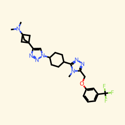 CN(C)C12CC(c3cn(C4CCC(c5nnc(COc6cccc(C(F)(F)F)c6)n5C)CC4)nn3)(C1)C2